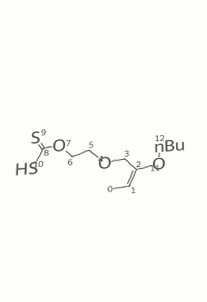 CC=C(COCCOC(=S)S)OCCCC